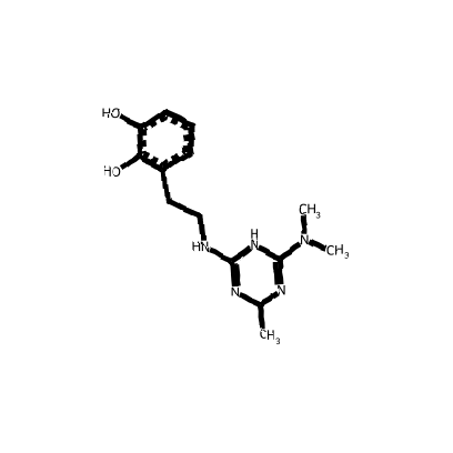 CC1N=C(NCCc2cccc(O)c2O)NC(N(C)C)=N1